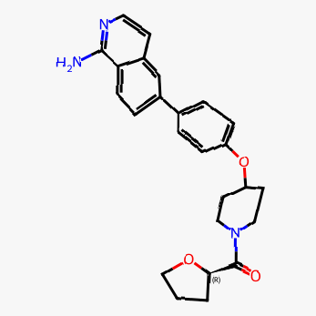 Nc1nccc2cc(-c3ccc(OC4CCN(C(=O)[C@H]5CCCO5)CC4)cc3)ccc12